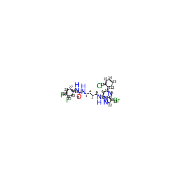 O=C(NCCCCNc1cc(C2CC=CC=C2Cl)nc2c(Br)cnn12)NC1=CC=C(F)C(F)C1